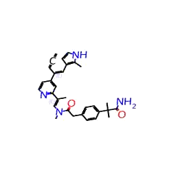 C=C=C/C(=C\c1cc[nH]c1C)c1ccnc(/C(C)=C/N(C)C(=O)Cc2ccc(C(C)(C)C(N)=O)cc2)c1